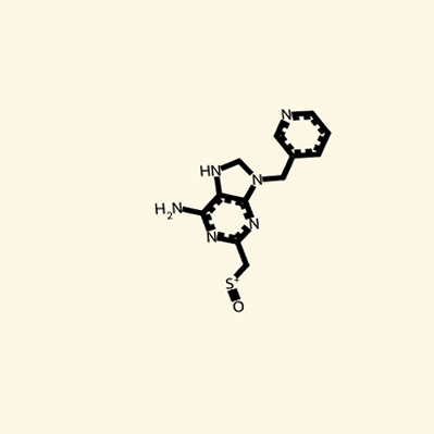 Nc1nc(C[S+]=O)nc2c1NCN2Cc1cccnc1